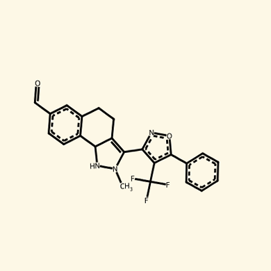 CN1NC2C(=C1c1noc(-c3ccccc3)c1C(F)(F)F)CCc1cc(C=O)ccc12